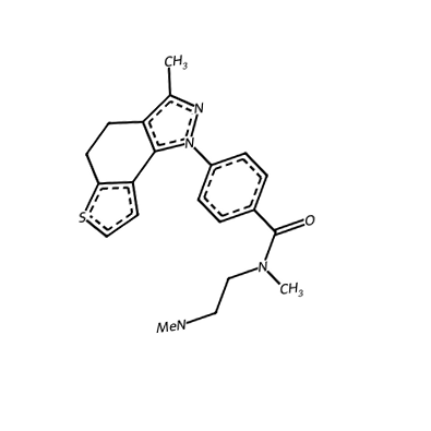 CNCCN(C)C(=O)c1ccc(-n2nc(C)c3c2-c2ccsc2CC3)cc1